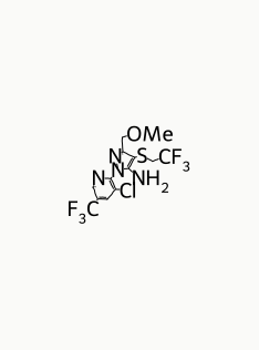 COCc1nn(-c2ncc(C(F)(F)F)cc2Cl)c(N)c1SCC(F)(F)F